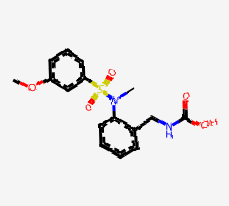 COc1cccc(S(=O)(=O)N(C)c2ccccc2CNC(=O)O)c1